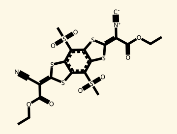 [C-]#[N+]C(C(=O)OCC)=C1Sc2c(c(S(C)(=O)=O)c3c(c2S(C)(=O)=O)SC(=C(C#N)C(=O)OCC)S3)S1